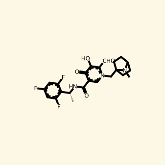 C[C@@H](NC(=O)c1cn(CC23CCC(CC2)N3C)c(C=O)c(O)c1=O)c1c(F)cc(F)cc1F